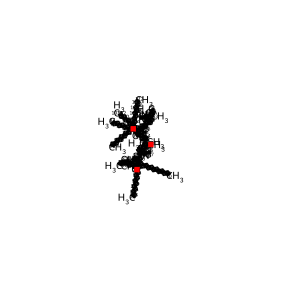 CCCCCCCCCCCCC1(CCCCCCCCCCCC)C(=O)c2cc(C(C)(C)CC)sc2-c2sc(-c3ccc(C(C)(CC)C(C)c4cc5c(s4)-c4sc(-c6ccc(C(C)(C)CC)c7nsnc67)cc4C(CCC(CCCCCCC)CCCCCCCCC)(CCC(CCCCCCC)CCCCCCCCC)C5=O)c4nsnc34)cc21